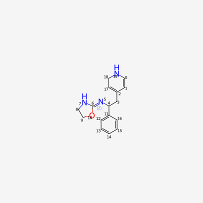 C1=CC(CC(/N=C2/NCCO2)c2ccccc2)=CCN1